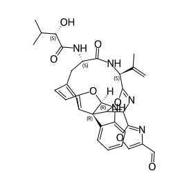 C=C(C)[C@@H]1NC(=O)[C@@H](NC(=O)[C@@H](O)C(C)C)Cc2ccc3c(c2)[C@@]2(c4ccccc4N[C@@H]2O3)c2oc1nc2-c1nc(C=O)co1